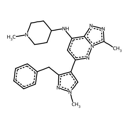 Cc1nnc2c(NC3CCN(C)CC3)cc(-c3cn(C)nc3Cc3ccccc3)nn12